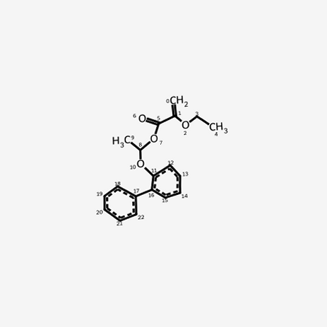 C=C(OCC)C(=O)OC(C)Oc1ccccc1-c1ccccc1